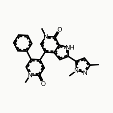 Cc1cc(-c2cc3c(-c4cc(=O)n(C)cc4-c4ccccc4)cn(C)c(=O)c3[nH]2)n(C)n1